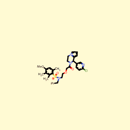 COc1cc(C)c(S(=O)(=O)N(CCOCC(=O)N2CCn3cccc3C2c2ccc(Cl)nc2)CC(C)C)c(C)c1C